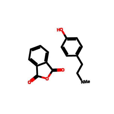 CNCCc1ccc(O)cc1.O=C1OC(=O)c2ccccc21